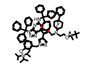 CC(C)[Si](Oc1cccc(Cn2cc(/C(=C\CN(CCO[Si](C)(C)C(C)(C)C)C34CCC(c5ccccc5)(CC3)CC4)c3cc(NC(c4ccccc4)(c4ccccc4)c4ccccc4)nc4c3nnn4C(c3ccccc3)(c3ccccc3)c3ccccc3)cn2)c1)(C(C)C)C(C)C